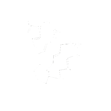 Cc1nc2sc3c(c2c(-c2ccc4cnn(C)c4c2)c1C(OC(C)(C)C)C(=O)O)CCCC3